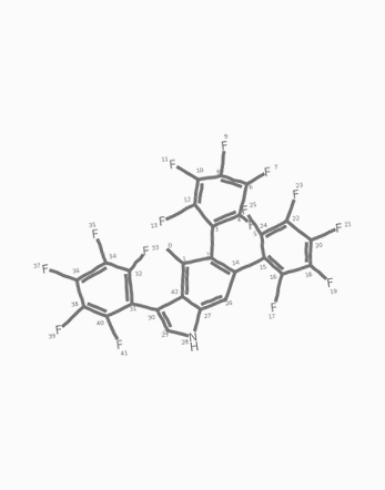 Cc1c(-c2c(F)c(F)c(F)c(F)c2F)c(-c2c(F)c(F)c(F)c(F)c2F)cc2[nH][c]c(-c3c(F)c(F)c(F)c(F)c3F)c12